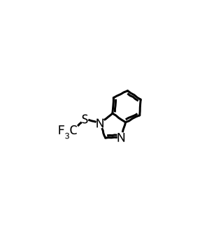 FC(F)(F)Sn1cnc2ccccc21